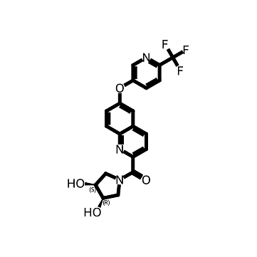 O=C(c1ccc2cc(Oc3ccc(C(F)(F)F)nc3)ccc2n1)N1C[C@@H](O)[C@@H](O)C1